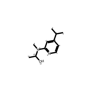 CC(C)c1ccnc(N(C)C(C)O)c1